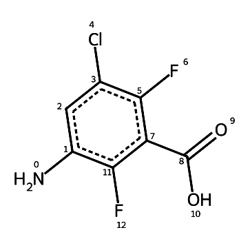 Nc1cc(Cl)c(F)c(C(=O)O)c1F